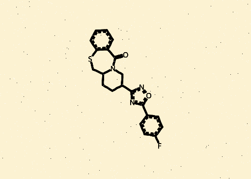 O=C1c2ccccc2SCC2CCC(c3noc(-c4ccc(F)cc4)n3)CN12